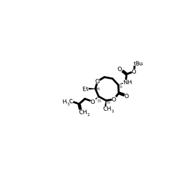 C=C(C)CO[C@H]1[C@H](C)OC(=O)[C@@H](NC(=O)OC(C)(C)C)CCO[C@@H]1CC